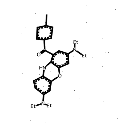 CCN(CC)c1ccc2c(c1)Oc1cc(N(CC)CC)cc(C(=O)c3ccc(C)cc3)c1N2